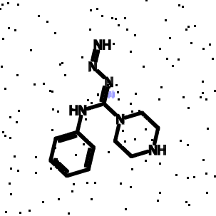 N=N/N=C(\Nc1ccccc1)N1CCNCC1